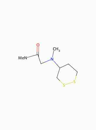 CNC(=O)CN(C)C1CCSSC1